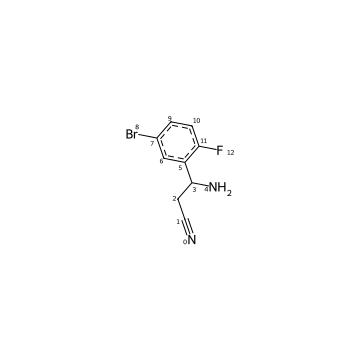 N#CCC(N)c1cc(Br)ccc1F